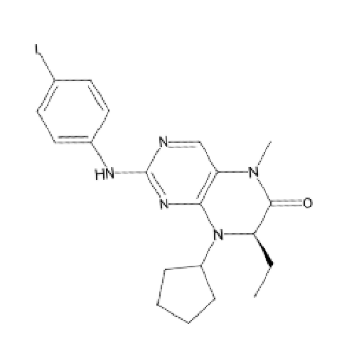 CC[C@@H]1C(=O)N(C)c2cnc(Nc3ccc(I)cc3)nc2N1C1CCCC1